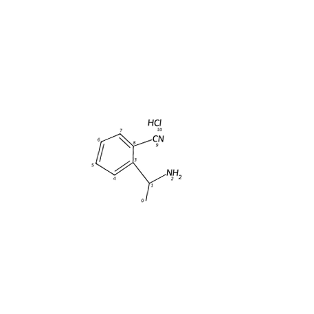 CC(N)c1ccccc1C#N.Cl